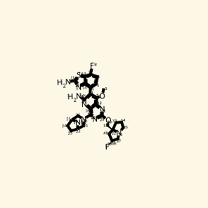 COc1c(-c2ccc(F)c3sc(N)nc23)c(N)nc2c(N3CC4CCC(C3)N4)nc(OC[C@@]34CCCN3C[C@H](F)C4)nc12